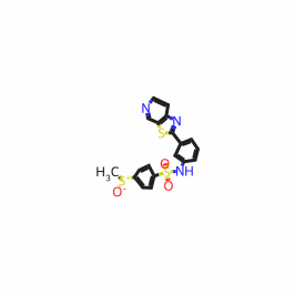 C[S+]([O-])c1ccc(S(=O)(=O)Nc2cccc(-c3nc4ccncc4s3)c2)cc1